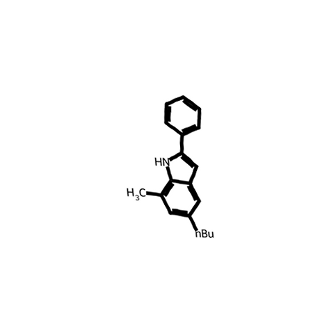 CCCCc1cc(C)c2[nH]c(-c3ccccc3)cc2c1